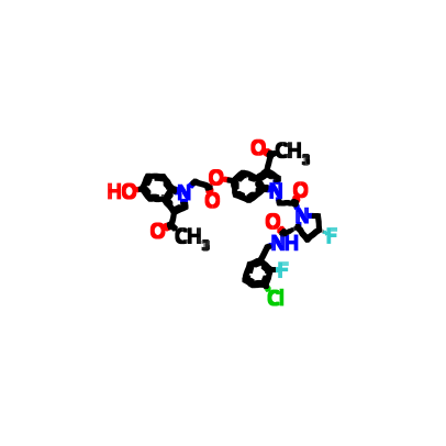 CC(=O)c1cn(CC(=O)Oc2ccc3c(c2)c(C(C)=O)cn3CC(=O)N2C[C@H](F)C[C@H]2C(=O)NCc2cccc(Cl)c2F)c2ccc(O)cc12